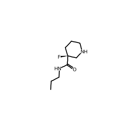 CCCNC(=O)[C@]1(F)CCCNC1